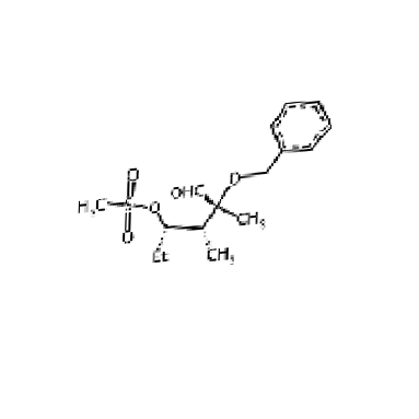 CC[C@H](OS(C)(=O)=O)[C@@H](C)[C@](C)(C=O)OCc1ccccc1